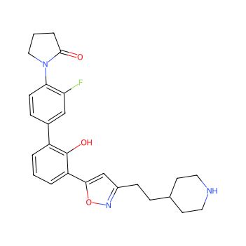 O=C1CCCN1c1ccc(-c2cccc(-c3cc(CCC4CCNCC4)no3)c2O)cc1F